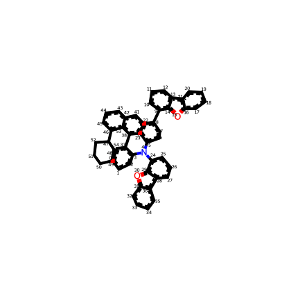 c1ccc(N(c2ccc(-c3cccc4c3oc3ccccc34)cc2)c2cccc3c2oc2ccccc23)c(-c2cccc3cccc(C4CCCCC4)c23)c1